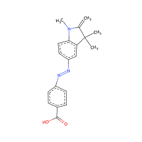 C=C1N(C)c2ccc(N=Nc3ccc(C(=O)O)cc3)cc2C1(C)C